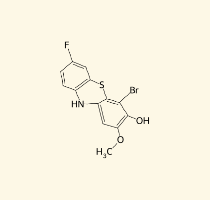 COc1cc2c(c(Br)c1O)Sc1cc(F)ccc1N2